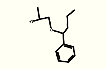 CCCC(OCC(C)[O])c1ccccc1